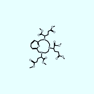 COC(=O)CCC(C(=O)OC)N1CCN(C(CCC(=O)OC)C(=O)OC)CC2=CCC=CC(=N2)CN(C(CCC(=O)OC)C(=O)OC)CC1